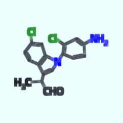 CC(C=O)c1cn(-c2ccc(N)cc2Cl)c2cc(Cl)ccc12